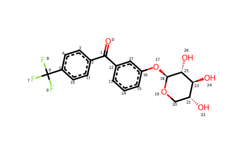 O=C(c1ccc(C(F)(F)F)cc1)c1cccc(O[C@@H]2OC[C@@H](O)[C@H](O)[C@H]2O)c1